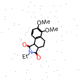 CCN1C(=O)C2CCc3c(ccc(OC)c3OC)C2C1=O